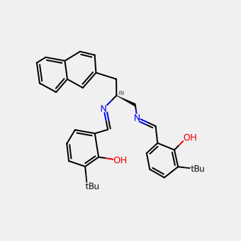 CC(C)(C)c1cccc(C=NC[C@H](Cc2ccc3ccccc3c2)N=Cc2cccc(C(C)(C)C)c2O)c1O